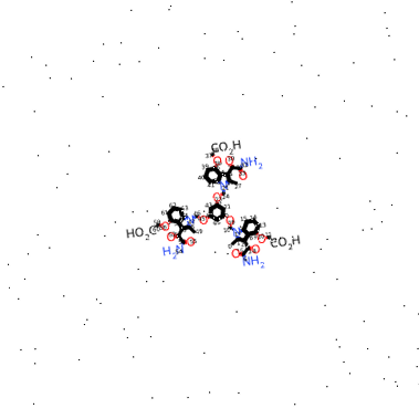 Cc1c(C(=O)C(N)=O)c2c(OCC(=O)O)cccc2n1COc1cc(OCn2c(C)c(C(=O)C(N)=O)c3c(OCC(=O)O)cccc32)cc(OCn2c(C)c(C(=O)C(N)=O)c3c(OCC(=O)O)cccc32)c1